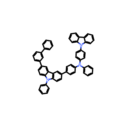 c1ccc(-c2cccc(-c3ccc4c(c3)c3cc(-c5ccc(N(c6ccccc6)c6ccc(-n7c8ccccc8c8ccccc87)cc6)cc5)ccc3n4-c3ccccc3)c2)cc1